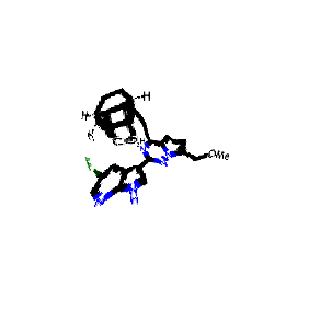 COCc1ccc2c(C[C@H]3[C@H]4CC[C@H](CC4)[C@@H]3C(=O)O)nc(-c3c[nH]c4ncc(F)cc34)nn12